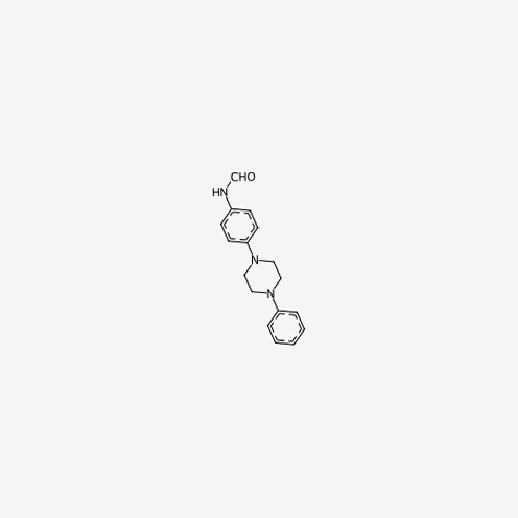 O=CNc1ccc(N2CCN(c3ccccc3)CC2)cc1